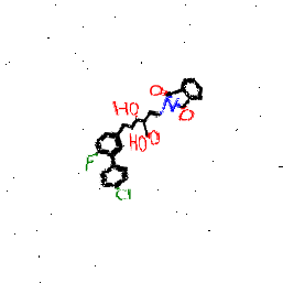 O=C(O)C(CCN1C(=O)c2ccccc2C1=O)C(O)CCc1ccc(F)c(-c2ccc(Cl)cc2)c1